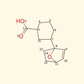 O=C(O)C1CCCC(C23C=CC(CC2)O3)C1